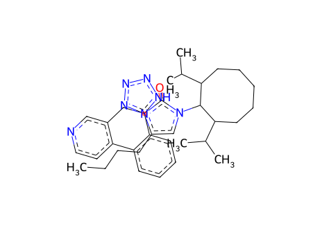 CCCCc1cn(C2C(C(C)C)CCCCCC2C(C)C)c(=O)n1Cc1cnccc1-c1ccccc1-c1nnn[nH]1